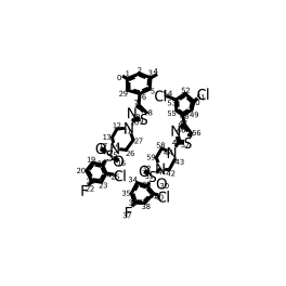 Cc1cc(C)cc(-c2csc(N3CCN(S(=O)(=O)c4ccc(F)cc4Cl)CC3)n2)c1.O=S(=O)(c1ccc(F)cc1Cl)N1CCN(c2nc(-c3cc(Cl)cc(Cl)c3)cs2)CC1